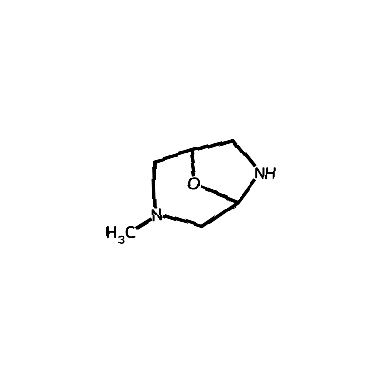 CN1CC2CNC(C1)O2